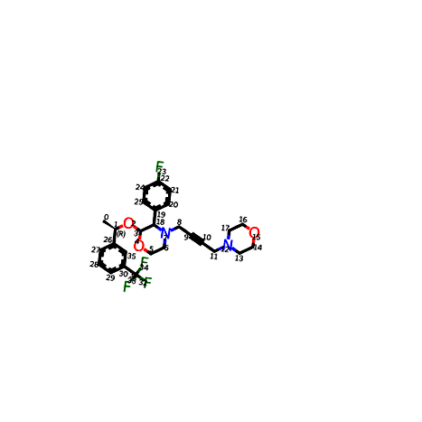 C[C@@H](OC1OCCN(CC#CCN2CCOCC2)C1c1ccc(F)cc1)c1cccc(C(F)(F)F)c1